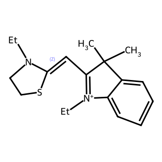 CCN1CCS/C1=C\C1=[N+](CC)c2ccccc2C1(C)C